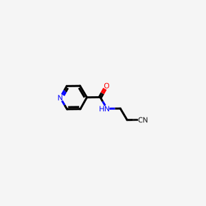 N#CCCNC(=O)c1ccncc1